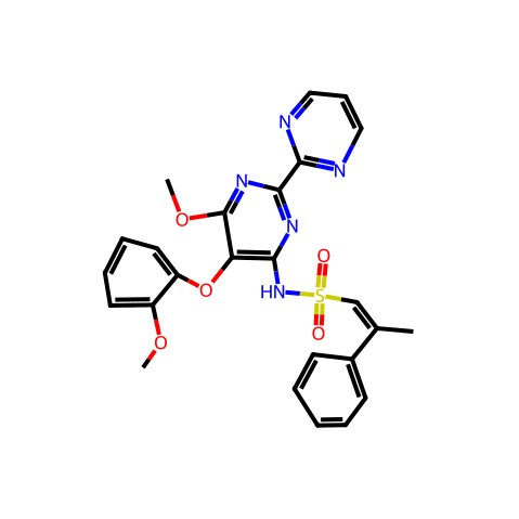 COc1ccccc1Oc1c(NS(=O)(=O)C=C(C)c2ccccc2)nc(-c2ncccn2)nc1OC